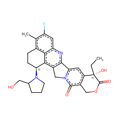 CC[C@@]1(O)C(=O)OCc2c1cc1n(c2=O)Cc2c-1nc1cc(F)c(C)c3c1c2[C@@H](N1CCCC1CO)CC3